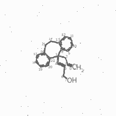 C=CCC1(C=CCO)c2ccccc2CCc2ccccc21